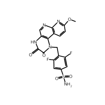 COc1ccc2c(ncc3[nH]c(=O)c(=O)n(Cc4c(F)cc(S(N)(=O)=O)cc4F)c32)n1